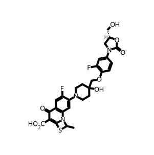 CC1Sc2c(C(=O)O)c(=O)c3cc(F)c(N4CCC(O)(COc5ccc(N6C[C@H](CO)OC6=O)cc5F)CC4)cc3n21